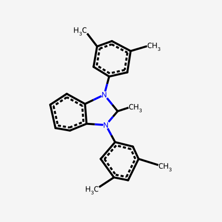 Cc1cc(C)cc(N2c3ccccc3N(c3cc(C)cc(C)c3)C2C)c1